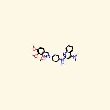 COc1ccc(CN[C@H]2CC[C@@H](Nc3cc(N(C)C)c4ccccc4n3)CC2)c(OC)c1OC